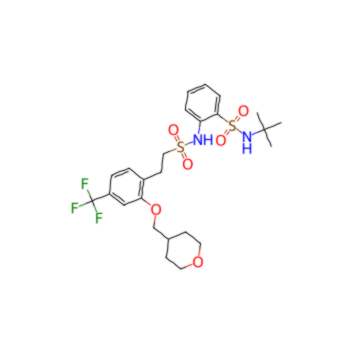 CC(C)(C)NS(=O)(=O)c1ccccc1NS(=O)(=O)CCc1ccc(C(F)(F)F)cc1OCC1CCOCC1